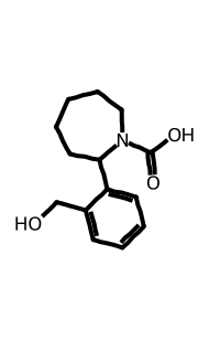 O=C(O)N1CCCCCC1c1ccccc1CO